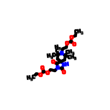 CCOC(=O)OCCN1C(=O)NC2(CC(C)(C)N(CCOC(=O)OCC)C(C)(C)C2)C1=O